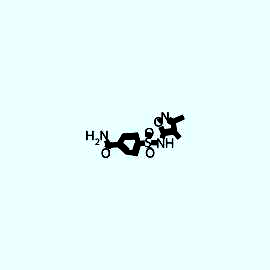 Cc1noc(NS(=O)(=O)c2ccc(C(N)=O)cc2)c1C